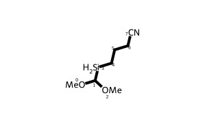 COC(OC)[SiH2]CCCC#N